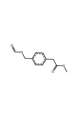 COC(=O)Cc1ccc(COC=O)cc1